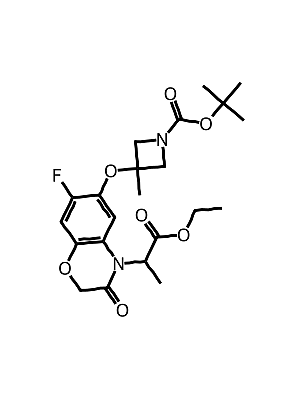 CCOC(=O)C(C)N1C(=O)COc2cc(F)c(OC3(C)CN(C(=O)OC(C)(C)C)C3)cc21